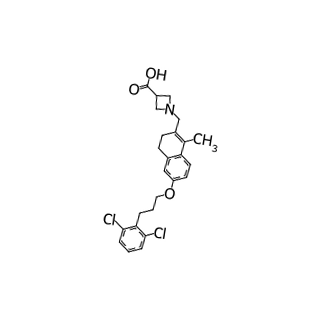 CC1=C(CN2CC(C(=O)O)C2)CCc2cc(OCCCc3c(Cl)cccc3Cl)ccc21